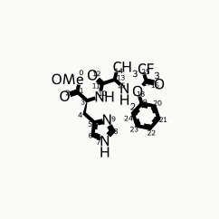 COC(=O)[C@H](Cc1c[nH]cn1)NC(=O)C(C)N.O=C(Oc1ccccc1)C(F)(F)F